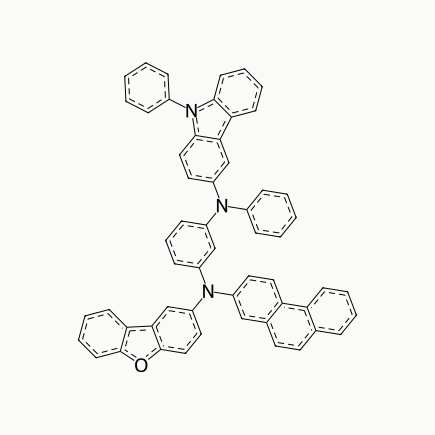 c1ccc(N(c2cccc(N(c3ccc4c(ccc5ccccc54)c3)c3ccc4oc5ccccc5c4c3)c2)c2ccc3c(c2)c2ccccc2n3-c2ccccc2)cc1